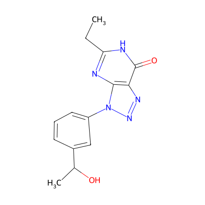 CCc1nc2c(nnn2-c2cccc(C(C)O)c2)c(=O)[nH]1